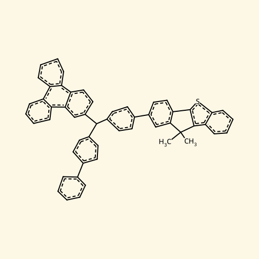 CC1(C)c2cc(-c3ccc(C(c4ccc(-c5ccccc5)cc4)c4ccc5c6ccccc6c6ccccc6c5c4)cc3)ccc2-c2sc3ccccc3c21